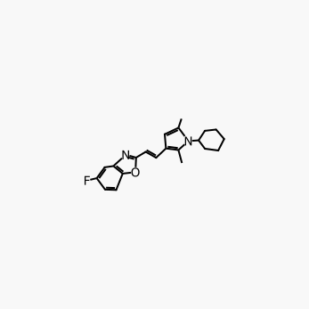 Cc1cc(C=Cc2nc3cc(F)ccc3o2)c(C)n1C1CCCCC1